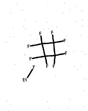 CCF.FC1(F)C(F)(F)C(F)(F)C1(F)F